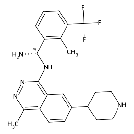 Cc1c([C@@H](N)Nc2nnc(C)c3ccc(C4CCNCC4)cc23)cccc1C(F)(F)F